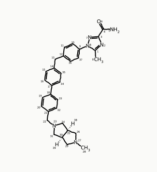 Cc1nc(C(N)=O)nn1-c1ccc(Cc2ccc(-c3ccc(CN4C[C@H]5CN(C)C[C@H]5C4)cc3)cc2)cc1